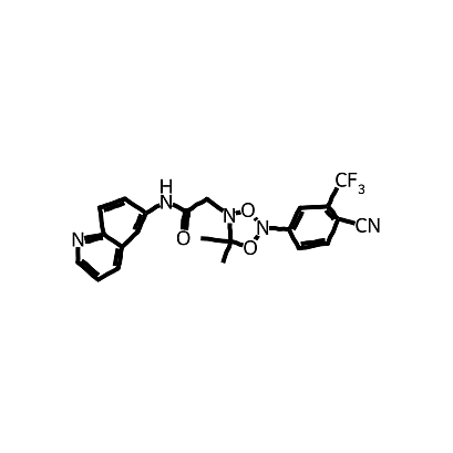 CC1(C)ON(c2ccc(C#N)c(C(F)(F)F)c2)ON1CC(=O)Nc1ccc2ncccc2c1